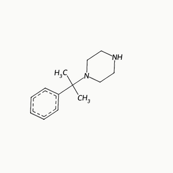 CC(C)(c1ccccc1)N1CCNCC1